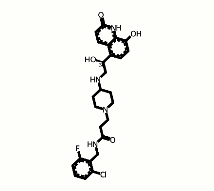 O=C(CCN1CCC(NC[C@@H](O)c2ccc(O)c3[nH]c(=O)ccc23)CC1)NCc1c(F)cccc1Cl